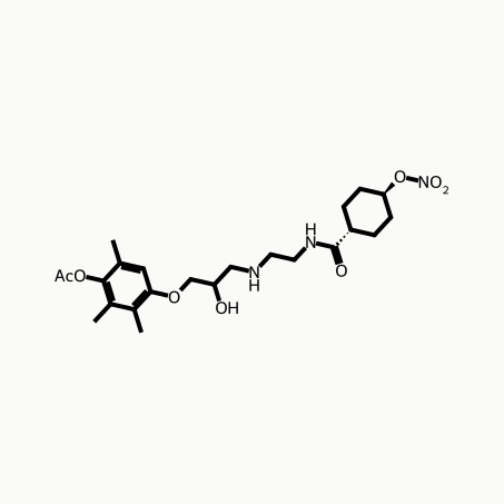 CC(=O)Oc1c(C)cc(OCC(O)CNCCNC(=O)[C@H]2CC[C@H](O[N+](=O)[O-])CC2)c(C)c1C